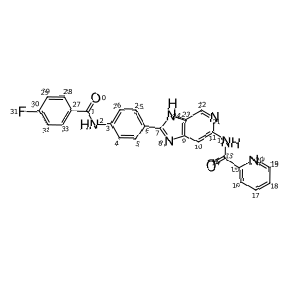 O=C(Nc1ccc(-c2nc3cc(NC(=O)c4ccccn4)ncc3[nH]2)cc1)c1ccc(F)cc1